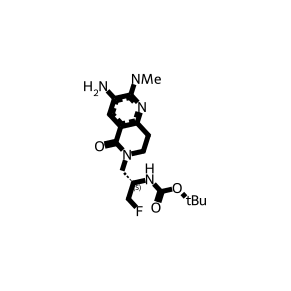 CNc1nc2c(cc1N)C(=O)N(C[C@@H](CF)NC(=O)OC(C)(C)C)CC2